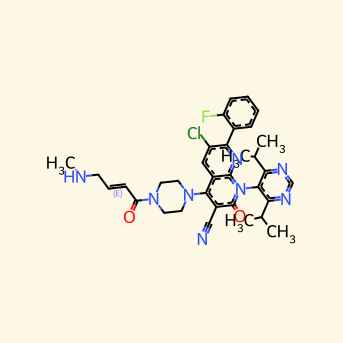 CNC/C=C/C(=O)N1CCN(c2c(C#N)c(=O)n(-c3c(C(C)C)ncnc3C(C)C)c3nc(-c4ccccc4F)c(Cl)cc23)CC1